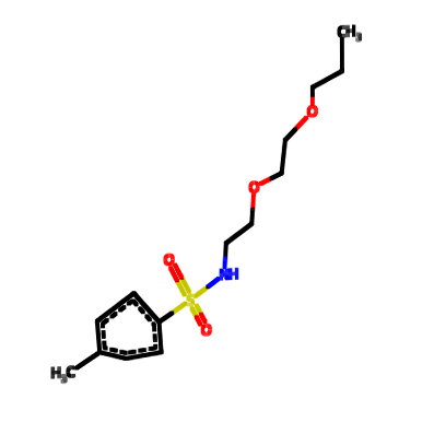 CCCOCCOCCNS(=O)(=O)c1ccc(C)cc1